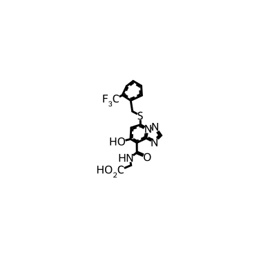 O=C(O)CNC(=O)c1c(O)cc(SCc2ccccc2C(F)(F)F)n2ncnc12